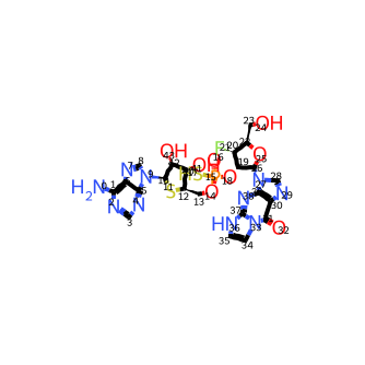 Nc1ncnc2c1ncn2[C@@H]1S[C@H](COP(=O)(S)O[C@@H]2[C@H](F)[C@@H](CO)O[C@H]2n2cnc3c(=O)n4cc[nH]c4nc32)[C@@H](O)[C@H]1O